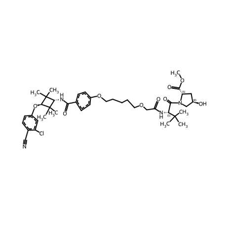 COC(=O)[C@@H]1C[C@@H](O)CN1C(=O)[C@@H](NC(=O)COCCCCCOc1ccc(C(=O)N[C@H]2C(C)(C)[C@H](Oc3ccc(C#N)c(Cl)c3)C2(C)C)cc1)C(C)(C)C